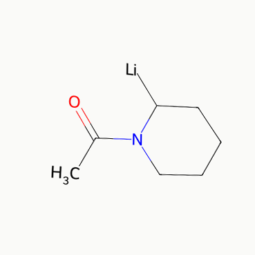 [Li][CH]1CCCCN1C(C)=O